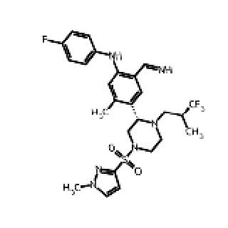 Cc1cc(Nc2ccc(F)cc2)c(C=N)cc1[C@H]1CN(S(=O)(=O)c2ccn(C)n2)CCN1C[C@H](C)C(F)(F)F